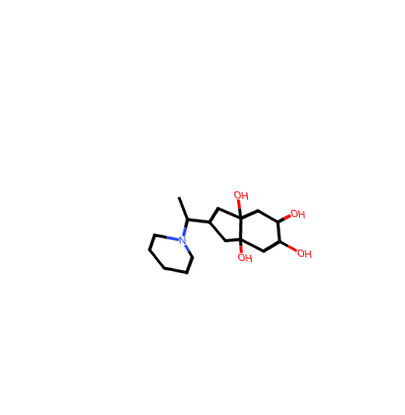 CC(C1CC2(O)CC(O)C(O)CC2(O)C1)N1CCCCC1